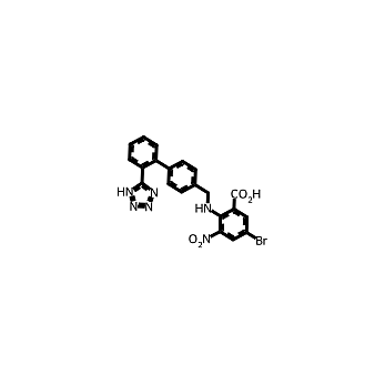 O=C(O)c1cc(Br)cc([N+](=O)[O-])c1NCc1ccc(-c2ccccc2-c2nnn[nH]2)cc1